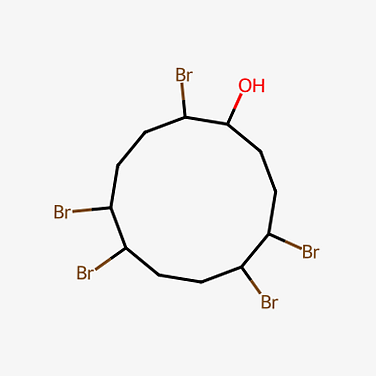 OC1CCC(Br)C(Br)CCC(Br)C(Br)CCC1Br